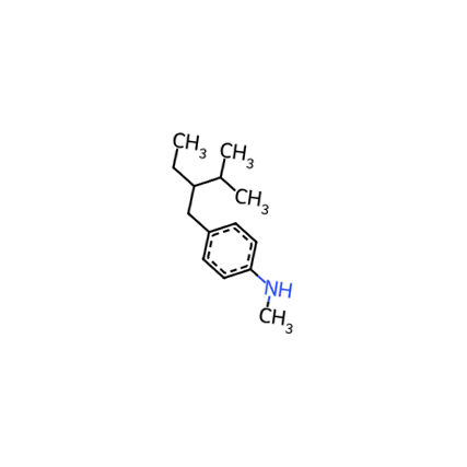 CCC(Cc1ccc(NC)cc1)C(C)C